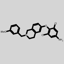 COc1cccc(CN2CCc3cc(Oc4c(Cl)cc(N)cc4Cl)ccc3C2)c1